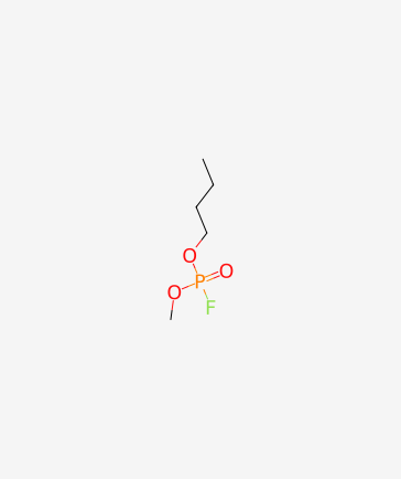 CCCCOP(=O)(F)OC